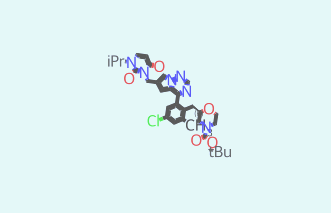 Cc1cc(Cl)cc(-c2ncnn3cc(Cn4c(=O)ccn(C(C)C)c4=O)cc23)c1C[C@@H]1CN(C(=O)OC(C)(C)C)CCO1